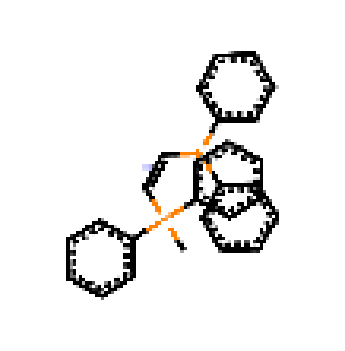 C[PH](/C=C\P(c1ccccc1)c1ccccc1)(c1ccccc1)c1ccccc1